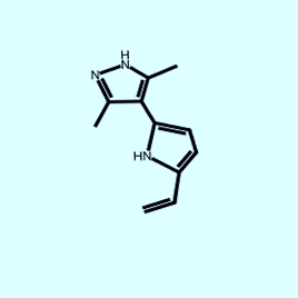 C=Cc1ccc(-c2c(C)n[nH]c2C)[nH]1